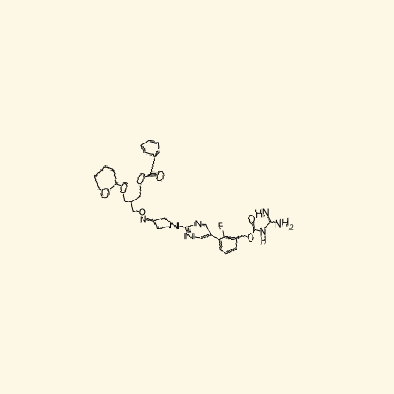 N=C(N)NC(=O)OCc1cccc(-c2cnc(N3CC(=NOCC(COC(=O)c4ccccc4)COC4CCCCO4)C3)nc2)c1F